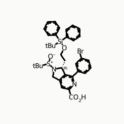 CC(C)(C)[S+]([O-])N1Cc2cc(C(=O)O)nc(-c3cccc(Br)c3)c2[C@H]1CCO[Si](c1ccccc1)(c1ccccc1)C(C)(C)C